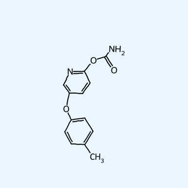 Cc1ccc(Oc2ccc(OC(N)=O)nc2)cc1